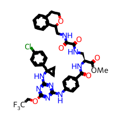 COC(=O)[C@H](CNC(=O)C(=O)NCC1OCCc2ccccc21)NC(=O)c1ccc(Nc2nc(NC3(c4ccc(Cl)cc4)CC3)nc(OCC(F)(F)F)n2)cc1